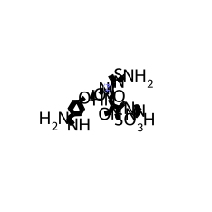 N=C(N)c1ccc(OCCO/N=C(\C(=O)NC2C(=O)N(S(=O)(=O)O)C2Cn2cncn2)c2csc(N)n2)cc1